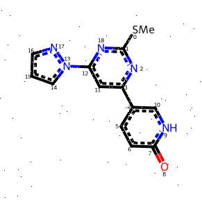 CSc1nc(-c2ccc(=O)[nH]c2)cc(-n2cccn2)n1